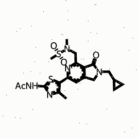 CC(=O)Nc1nc(C)c(-c2cc3c(c(CN(C)S(C)(=O)=O)n2)C(=O)N(CC2CC2)C3)s1